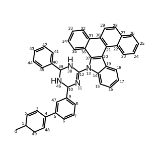 CC1C=CC(c2cccc(C3N=C(n4c5ccccc5c5c6c7ccccc7ccc6c6ccccc6c54)NC(c4ccccc4)N3)c2)=CC1